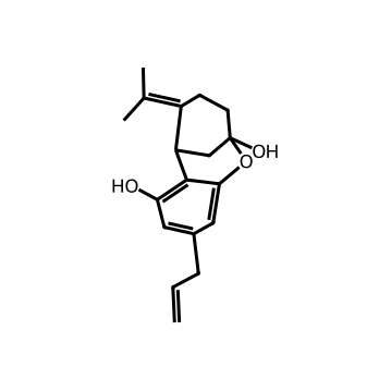 C=CCc1cc(O)c2c(c1)OC1(O)CCC(=C(C)C)C2C1